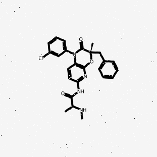 CNC(C)C(=O)Nc1ccc2c(n1)O[C@@](C)(Cc1ccccc1)C(=O)N2c1cccc(Cl)c1